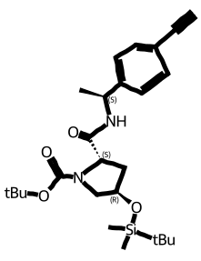 C#Cc1ccc([C@H](C)NC(=O)[C@@H]2C[C@@H](O[Si](C)(C)C(C)(C)C)CN2C(=O)OC(C)(C)C)cc1